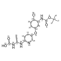 CC(C)(C)OC(=O)Nc1cc(Oc2ccc(NC(=S)NC(=O)O)nc2)ccc1Cl